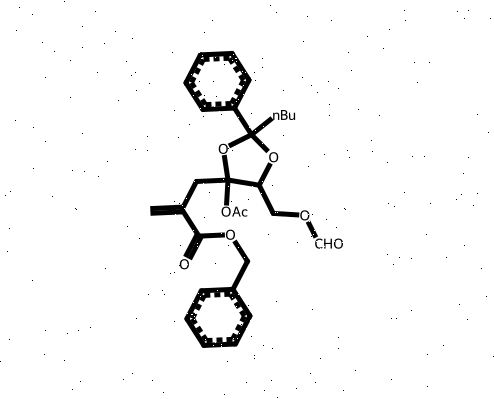 C=C(CC1(OC(C)=O)OC(CCCC)(c2ccccc2)OC1COC=O)C(=O)OCc1ccccc1